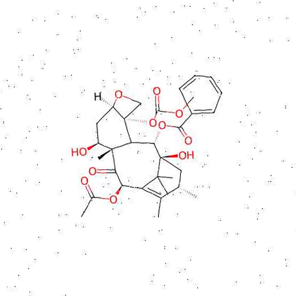 COC(=O)O[C@@]12CO[C@@H]1C[C@H](O)[C@@]1(C)C(=O)[C@H](OC(C)=O)C3=C(C)[C@@H](C)C[C@@](O)([C@@H](OC(=O)c4ccccc4)C12)C3(C)C